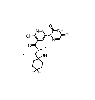 O=C(NCC1(O)CCC(F)(F)CC1)c1cc(-n2ncc(=O)[nH]c2=O)cnc1Cl